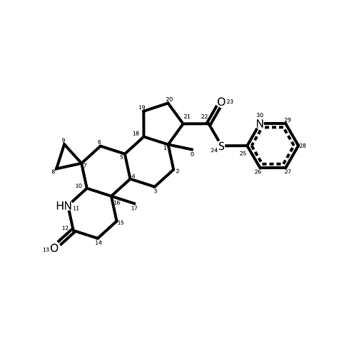 CC12CCC3C(CC4(CC4)C4NC(=O)CCC34C)C1CCC2C(=O)Sc1ccccn1